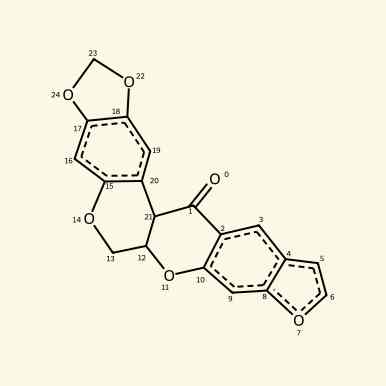 O=C1c2cc3ccoc3cc2OC2COc3cc4c(cc3C12)OCO4